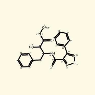 CONC(=O)C(O)C(Cc1ccccc1)NC(=O)c1nsnc1-c1ccccc1